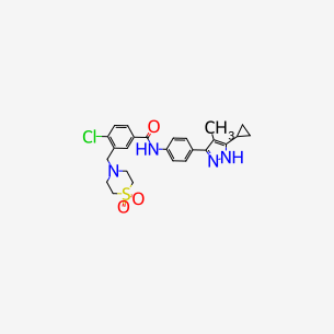 Cc1c(-c2ccc(NC(=O)c3ccc(Cl)c(CN4CCS(=O)(=O)CC4)c3)cc2)n[nH]c1C1CC1